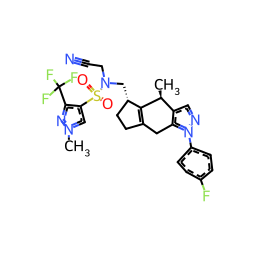 C[C@@H]1C2=C(CC[C@@H]2CN(CC#N)S(=O)(=O)c2cn(C)nc2C(F)(F)F)Cc2c1cnn2-c1ccc(F)cc1